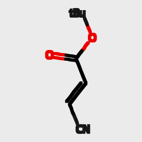 CC(C)(C)OC(=O)C=CC#N